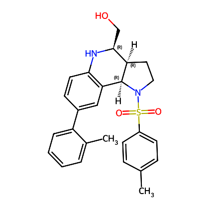 Cc1ccc(S(=O)(=O)N2CC[C@@H]3[C@H](CO)Nc4ccc(-c5ccccc5C)cc4[C@@H]32)cc1